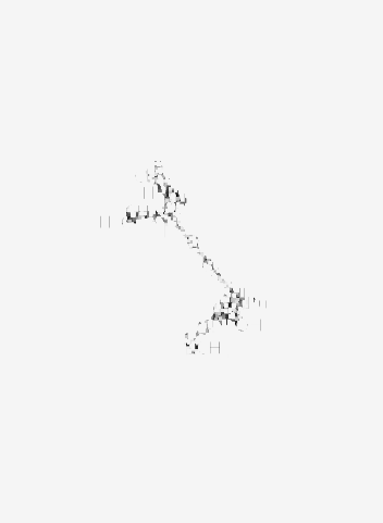 Cc1ncsc1-c1ccc(CNC(=O)[C@@H]2C[C@@H](O)CN2C(=O)[C@@H](NCCCCCCOCCCCOCCCCOc2cc3ncnc(Nc4ccc(F)c(Cl)c4)c3cc2NC/C=C/CN(C)C)C(C)(C)C)cc1